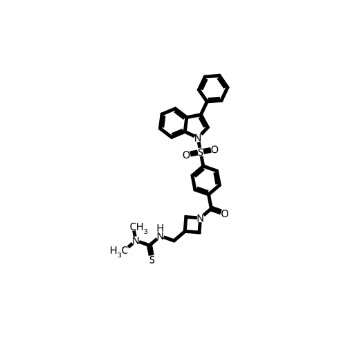 CN(C)C(=S)NCC1CN(C(=O)c2ccc(S(=O)(=O)n3cc(-c4ccccc4)c4ccccc43)cc2)C1